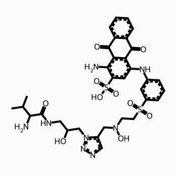 CC(C)C(N)C(=O)NCC(O)Cn1nncc1CN(O)CCS(=O)(=O)c1cccc(Nc2cc(S(=O)(=O)O)c(N)c3c2C(=O)c2ccccc2C3=O)c1